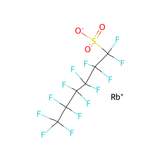 O=S(=O)([O-])C(F)(F)C(F)(F)C(F)(F)C(F)(F)C(F)(F)C(F)(F)F.[Rb+]